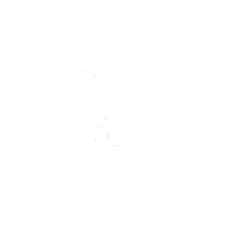 CCC(Br)C(CC)Oc1cccc(C(=O)NCCCCCNC(C)(C)C)c1.O=C(O)O